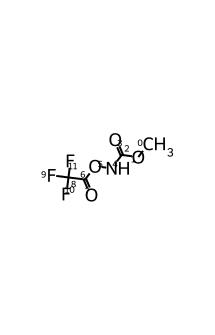 COC(=O)NOC(=O)C(F)(F)F